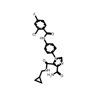 NC(=O)c1ncn(-c2ccc(NC(=O)c3ccc(F)cc3Cl)cc2)c1C(=O)NCC1CC1